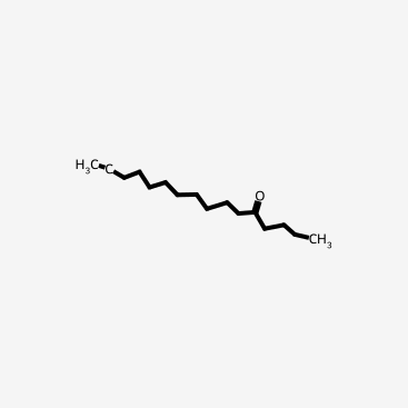 CCCCCCCCCCCC(=O)CCCC